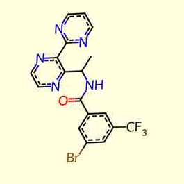 CC(NC(=O)c1cc(Br)cc(C(F)(F)F)c1)c1nccnc1-c1ncccn1